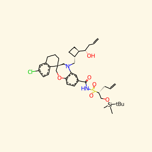 C=CC[C@H](CO[Si](C)(C)C(C)(C)C)S(=O)(=O)NC(=O)c1ccc2c(c1)N(C[C@@H]1CC[C@H]1[C@@H](O)CC=C)C[C@@]1(CCCc3cc(Cl)ccc31)CO2